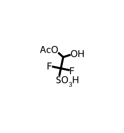 CC(=O)OC(O)C(F)(F)S(=O)(=O)O